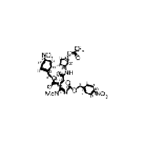 CNC(=NC(=O)OCc1ccc([N+](=O)[O-])cc1)N(CC(=O)N[C@H]1CCN(OC(=O)C(F)(F)F)C1)C(=O)OCc1ccc([N+](=O)[O-])cc1